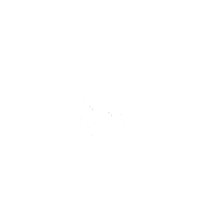 C#CCC1(C(=O)OCC=C)CN(C(=O)OC(C)(C)C)CCN(C(=O)c2ccc(OC)cc2)C1=O